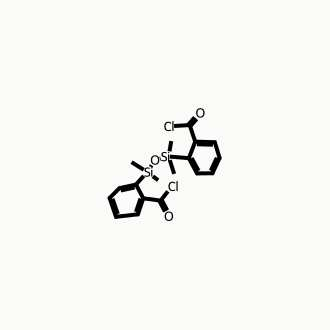 C[Si](C)(O[Si](C)(C)c1ccccc1C(=O)Cl)c1ccccc1C(=O)Cl